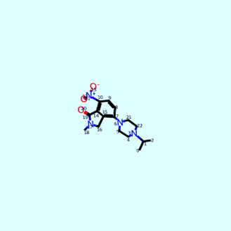 CC(C)N1CCN(c2ccc([N+](=O)[O-])c3c2CN(C)C3=O)CC1